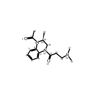 CC(=O)N1c2ccccc2N(C(=O)CCN(C)C)C[C@@H]1C